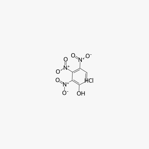 Cl.O=[N+]([O-])c1ccc(O)c([N+](=O)[O-])c1[N+](=O)[O-]